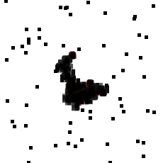 CSCC[C@@H](NC(=O)[C@@H](C)NC(=O)[C@@H](Cc1c[nH]c2ccccc12)NC(=O)[C@H]1CCCN1C(=O)[C@@H](Cc1c[nH]cn1)NC(=O)[C@@H](Cc1c[nH]c2ccccc12)NC(=O)[C@H](N)Cc1ccccc1)C(=O)N[C@H](CCSC)C(=O)N[C@H](Cc1ccc(O)cc1)C(=O)N[C@H](CCCCN)C(=O)NCC(=O)NCC(=O)NCC(=O)NCC(=O)N[C@H](CSSC(=O)OCc1ccccc1)C(N)=O